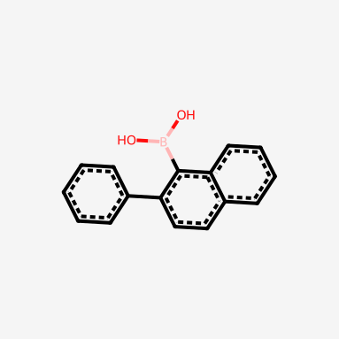 OB(O)c1c(-c2ccccc2)ccc2ccccc12